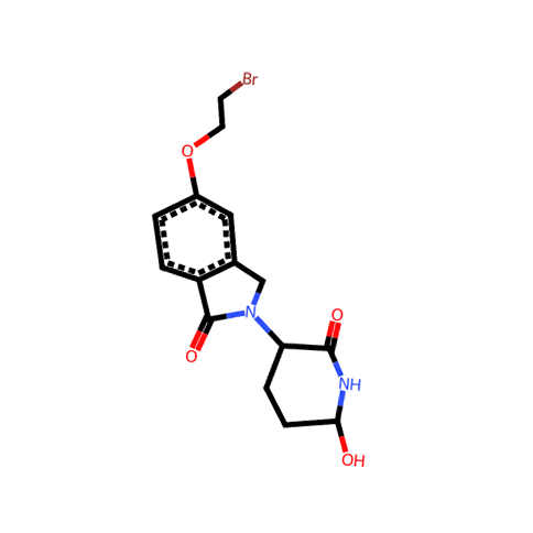 O=C1NC(O)CCC1N1Cc2cc(OCCBr)ccc2C1=O